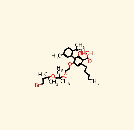 C=C(C)C1CCC(C)=CC1c1c(OCCOC(C)(C)COC(C)(C)CCBr)cc(CCCCC)c(C(=O)O)c1O